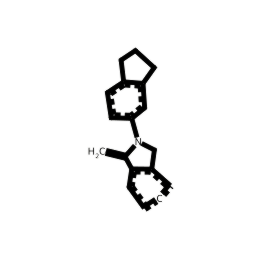 C=C1c2ccccc2CN1c1ccc2c(c1)CCC2